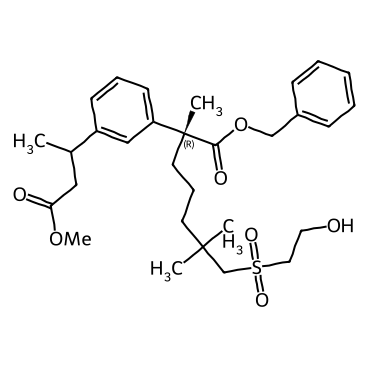 COC(=O)CC(C)c1cccc([C@@](C)(CCCC(C)(C)CS(=O)(=O)CCO)C(=O)OCc2ccccc2)c1